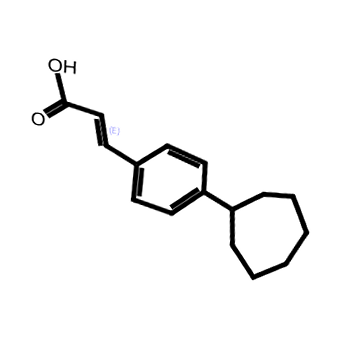 O=C(O)/C=C/c1ccc(C2CCCCCC2)cc1